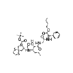 CCCCOC(=O)[C@@H](NC(=O)CNC(=O)C(O)C(CCC)NC(=O)[C@@H]1CC2(CN1C(=O)OC(C)(C)C)SCCS2)c1ccccc1